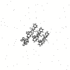 CC[N+](CC)(CC(=O)Nc1c(C)cccc1C)Cc1ccccc1.CC[N+](CC)(CC(=O)Nc1c(C)cccc1C)Cc1ccccc1.CC[N+](CC)(CC(=O)Nc1c(C)cccc1C)Cc1ccccc1.O=C([O-])CC(O)(CC(=O)[O-])C(=O)[O-]